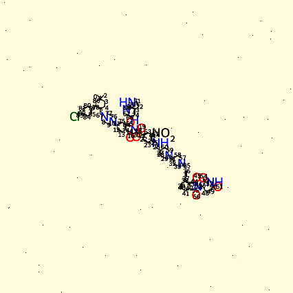 CC1(C)CCC(CN2CCN(c3ccc(C(=O)NS(=O)(=O)c4ccc(NCC5CCN(C6CCN(CC#Cc7cccc8c7C(=O)N(C7CCC(=O)NC7=O)C8=O)CC6)CC5)c([N+](=O)[O-])c4)c(Oc4cnc5[nH]ccc5c4)c3)CC2)=C(c2ccc(Cl)cc2)C1